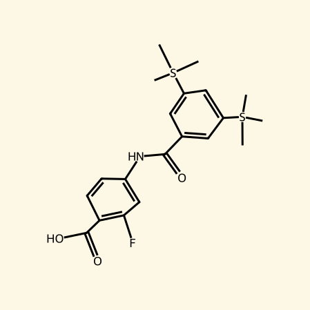 CS(C)(C)c1cc(C(=O)Nc2ccc(C(=O)O)c(F)c2)cc(S(C)(C)C)c1